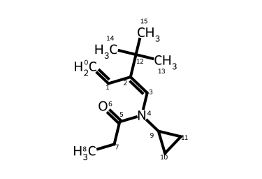 C=C/C(=C\N(C(=O)CC)C1CC1)C(C)(C)C